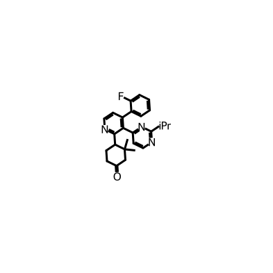 CC(C)c1nccc(-c2c(-c3ccccc3F)ccnc2C2CCC(=O)CC2(C)C)n1